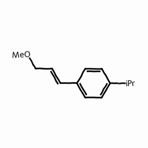 [CH2]OC/C=C/c1ccc(C(C)C)cc1